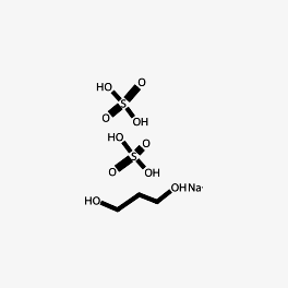 O=S(=O)(O)O.O=S(=O)(O)O.OCCCO.[Na]